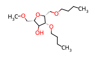 CCCCOC[C@H]1O[C@@H](COC)C(O)[C@H]1OCCCC